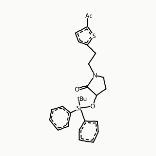 CC(=O)c1ccc(CCN2CCC(O[Si](c3ccccc3)(c3ccccc3)C(C)(C)C)C2=O)s1